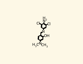 CN(C)c1ccc(C=Nc2cc(Cl)c(N)c(Cl)c2)c(O)c1